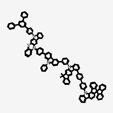 CC1(C)c2ccccc2-c2cc3c4c(-c5ccc(-c6ccc(-n7c8ccccc8c8ccc9c(c87)-c7ccccc7C97c8ccccc8-c8ccccc87)cc6)cc5)cccc4n(-c4cccc(-c5ccc6c(c5)c5ccc(-c7ccc(N8c9ccccc9Sc9cc%10c(cc98)c8ccccc8n%10-c8ccc(-c9cc(-c%10ccccc%10)cc(-c%10ccccc%10)c9)cc8)cc7)cc5n6-c5ccccc5)c4)c3cc21